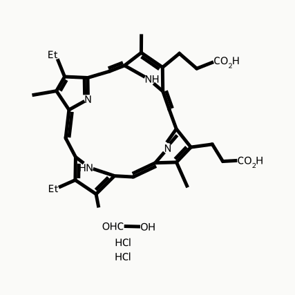 CCC1=C(C)c2cc3[nH]c(cc4nc(cc5[nH]c(cc1n2)c(C)c5CCC(=O)O)C(CCC(=O)O)=C4C)c(C)c3CC.Cl.Cl.O=CO